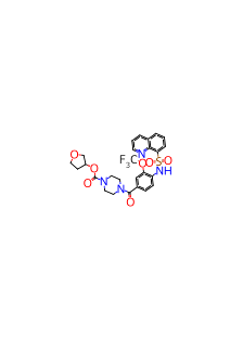 O=C(O[C@H]1CCOC1)N1CCN(C(=O)c2ccc(NS(=O)(=O)c3cccc4cccnc34)c(OC(F)(F)F)c2)CC1